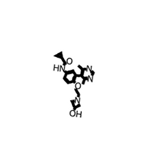 Cc1ncnc(C)c1-c1cc(NC(=O)C2CC2)ccc1OCCN1CC(O)C1